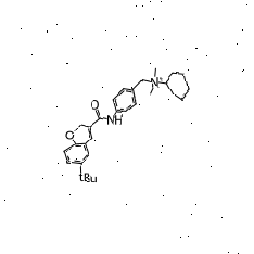 CC(C)(C)c1ccc2c(c1)C=C(C(=O)Nc1ccc(C[N+](C)(C)C3CCCCC3)cc1)CO2